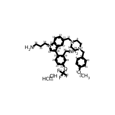 COc1ccc(CN2CCN(Cc3ccc4c(c3)c(-c3ccc(OC(F)(F)F)cc3CN)cn4CCCN)CC2)cc1.Cl.Cl